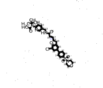 CC(C)(C)N(C(=O)O)c1ccc(CNC(=O)/C=C/C2Cc3cc(-c4ccc(S(=O)(=O)N5CCOCC5)cc4)cc(Cl)c3O2)cn1